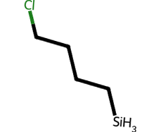 [SiH3]CCCCCl